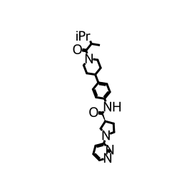 CC(C)C(C)C(=O)N1CCC(c2ccc(NC(=O)[C@H]3CCN(c4cccnn4)C3)cc2)CC1